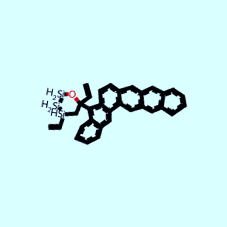 C=C[SiH]1CC(C=C)(c2c3ccccc3cc3c2ccc2cc4cc5ccccc5cc4cc23)O[SiH2][SiH2]1